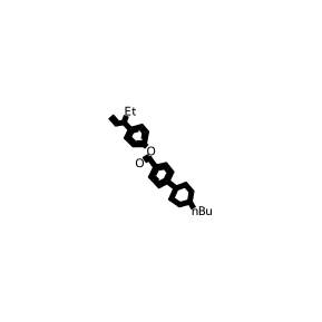 C=CC(CC)c1ccc(OC(=O)c2ccc(C3CCC(CCCC)CC3)cc2)cc1